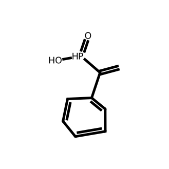 C=C(c1ccccc1)[PH](=O)O